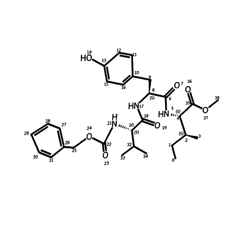 CC[C@H](C)[C@H](NC(=O)[C@H](Cc1ccc(O)cc1)NC(=O)[C@@H](NC(=O)OCc1ccccc1)C(C)C)C(=O)OC